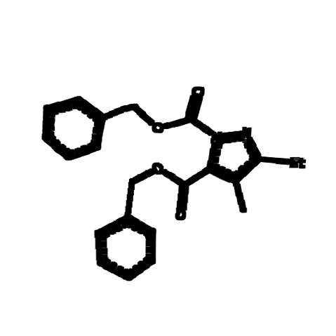 CCc1nn(C(=O)OCc2ccccc2)c(C(=O)OCc2ccccc2)c1C